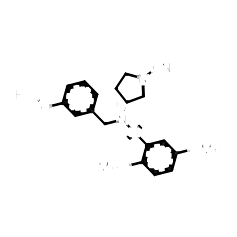 COc1ccc(OC)c(S(=O)(=O)N(Cc2cccc(OC(F)(F)F)c2)[C@@H]2CCN(C#N)C2)c1